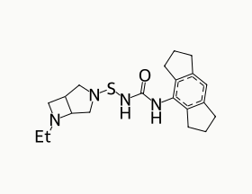 CCN1CC2CN(SNC(=O)Nc3c4c(cc5c3CCC5)CCC4)CC21